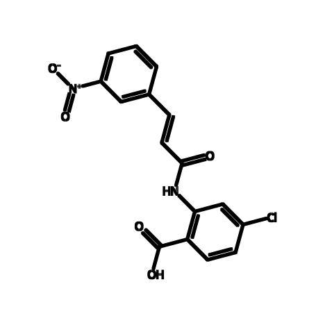 O=C(/C=C/c1cccc([N+](=O)[O-])c1)Nc1cc(Cl)ccc1C(=O)O